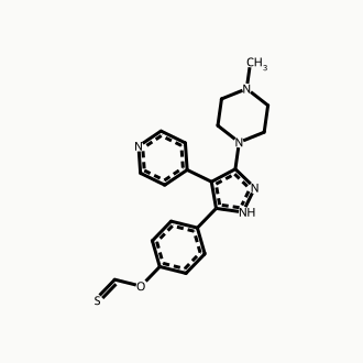 CN1CCN(c2n[nH]c(-c3ccc(OC=S)cc3)c2-c2ccncc2)CC1